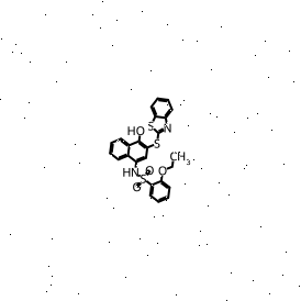 CCOc1ccccc1S(=O)(=O)Nc1cc(Sc2nc3ccccc3s2)c(O)c2ccccc12